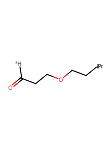 [3H]C(=O)CCOCCC(C)C